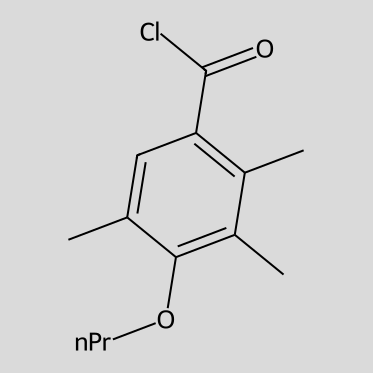 CCCOc1c(C)cc(C(=O)Cl)c(C)c1C